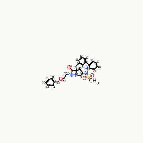 CS(=O)(=O)N[C@H]1CC[C@](Cc2cccc(-c3ccccc3)c2)(C(=O)NCCOCc2ccccc2)C1